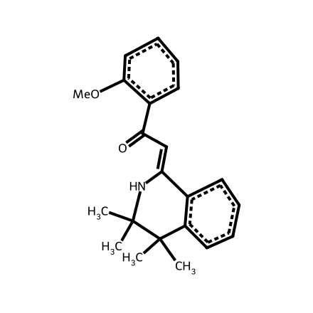 COc1ccccc1C(=O)/C=C1\NC(C)(C)C(C)(C)c2ccccc21